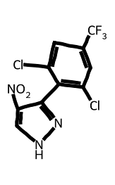 O=[N+]([O-])c1c[nH]nc1-c1c(Cl)cc(C(F)(F)F)cc1Cl